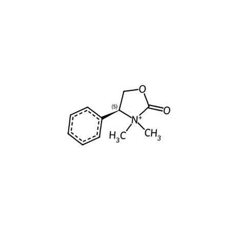 C[N+]1(C)C(=O)OC[C@@H]1c1ccccc1